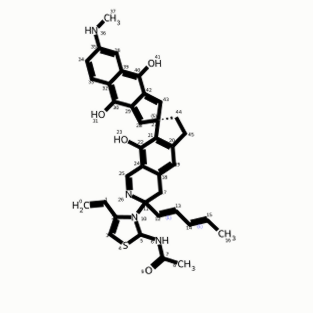 C=CC1=CSC(NC(C)=O)N1C1(/C=C/C=C/C)Cc2cc3c(c(O)c2C=N1)[C@]1(C=c2c(O)c4ccc(NC)cc4c(O)c2=C1)CC3